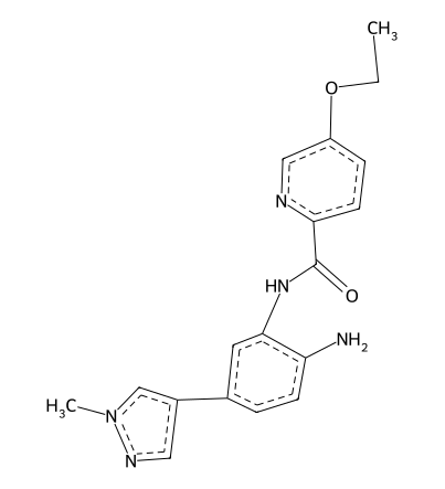 CCOc1ccc(C(=O)Nc2cc(-c3cnn(C)c3)ccc2N)nc1